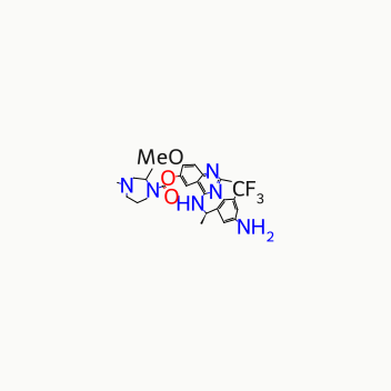 COc1cc2nc(C)nc(N[C@H](C)c3cc(N)cc(C(F)(F)F)c3)c2cc1OC(=O)N1CCCN(C)CC1C